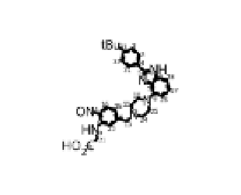 CC(C)(C)c1ccc(-c2nc3c(N4CCN(Cc5ccc(N=O)c(NCC(=O)O)c5)CC4)cccc3[nH]2)cc1